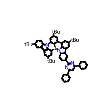 CC(C)(C)c1cc2c3c(c1)C1C=C(c4nc(-c5ccccc5)cc(-c5ccccc5)n4)C=CC1N3B1c3c-2cc(C(C)(C)C)cc3-n2c3ccc(C(C)(C)C)cc3c3cc(C(C)(C)C)cc1c32